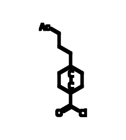 CC(=O)CCCC12CCC(C(=O)Cl)(CC1)CC2